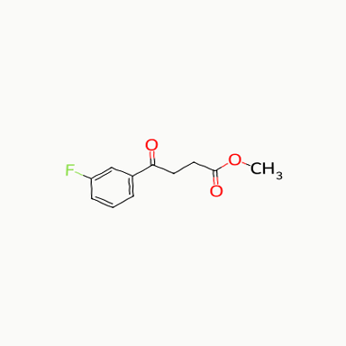 COC(=O)CCC(=O)c1cccc(F)c1